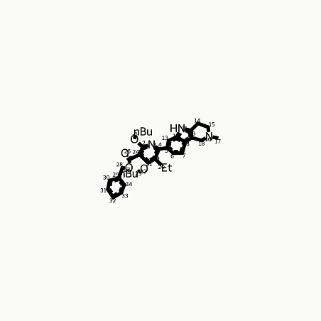 CCCCOc1nc(-c2ccc3c4c([nH]c3c2)CCN(C)C4)c(CC)c(OCCCC)c1C(=O)OCc1ccccc1